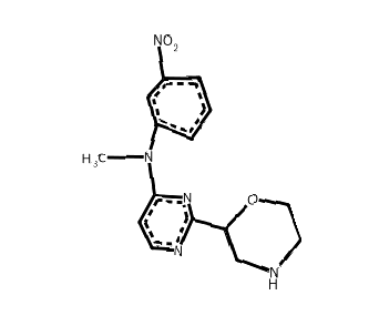 CN(c1cccc([N+](=O)[O-])c1)c1ccnc(C2CNCCO2)n1